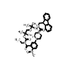 CCN(C(=O)OC(C)(C)COC(C)(C)C)C(=O)c1cc(N2CCN(C(=O)OCC3c4ccccc4-c4ccccc43)CC2)ccc1[N+](=O)[O-]